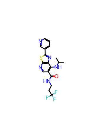 CC(C)Nc1c(C(=O)NCCC(F)(F)F)cnc2sc(-c3cccnc3)nc12